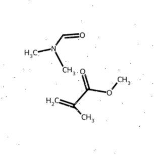 C=C(C)C(=O)OC.CN(C)C=O